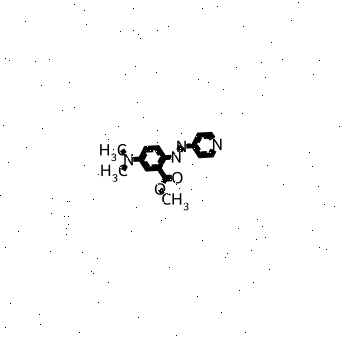 COC(=O)c1cc(N(C)C)ccc1/N=N/c1ccncc1